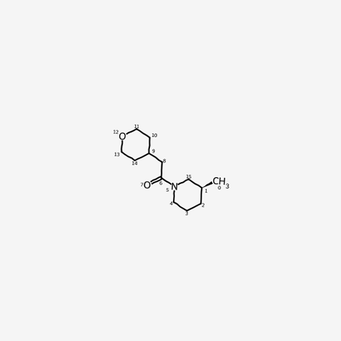 C[C@H]1CCCN(C(=O)CC2CCOCC2)C1